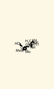 CCOC1=NC2C(=N)N(CC(=O)c3cc(OCCCO)c(OC)c(C(C)(C)C)c3)N=C2C(C)=C1C